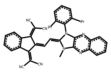 CC(C)c1cccc(C(C)C)c1N1/C(=C/C=C2C(=C(C#N)C#N)c3ccccc3C2=C(C#N)C#N)N(C)c2nc3ccccc3nc21